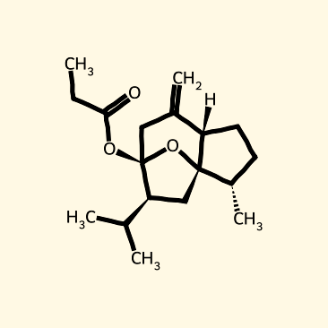 C=C1C[C@]2(OC(=O)CC)O[C@@]3(C[C@H]2C(C)C)[C@@H](C)CC[C@@H]13